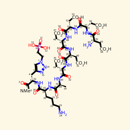 CNC(=O)[C@H](Cc1cn(CCP(=O)(O)O)nn1)NC(=O)[C@H](CCCCN)NC(=O)[C@H](C)NC(=O)[C@H](CC(=O)O)NC(=O)[C@H](CC(=O)O)NC(=O)[C@H](CC(=O)O)NC(=O)[C@H](CC(=O)O)NC(=O)[C@H](CC(=O)O)NC(=O)[C@@H](N)CC(=O)O